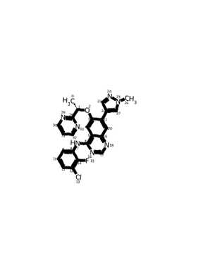 C[C@H](Oc1cc2c(Nc3cccc(Cl)c3F)ncnc2cc1-c1cnn(C)c1)c1ncccn1